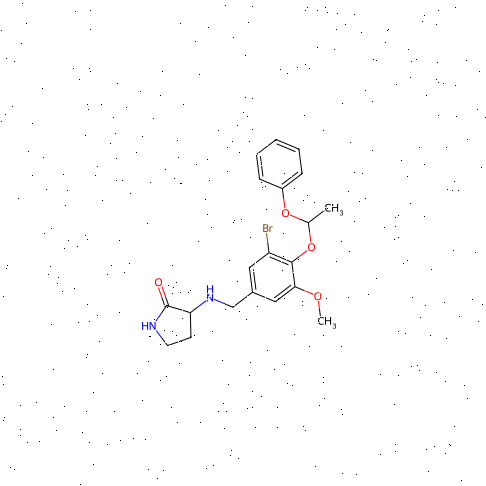 COc1cc(CNC2CCNC2=O)cc(Br)c1OC(C)Oc1ccccc1